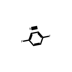 C#N.Fc1ccc(F)cc1